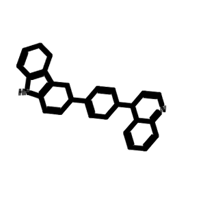 C1=CC2=NC=CC(C3C=CC(C4C=Cc5[nH]c6c(c5C4)CCC=C6)=CC3)C2C=C1